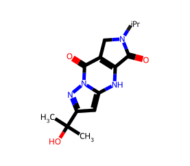 CC(C)N1Cc2c([nH]c3cc(C(C)(C)O)nn3c2=O)C1=O